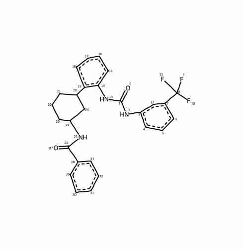 O=C(Nc1cccc(C(F)(F)F)c1)Nc1ccccc1C1CCCC(NC(=O)c2ccccc2)C1